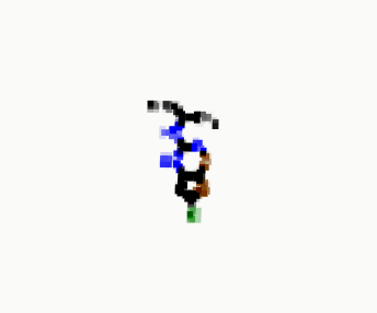 CCCCCCC(C)NC1=NSc2sc(Cl)cc2N1